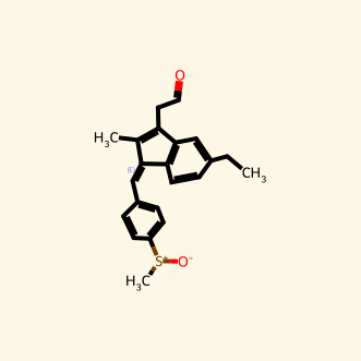 CCc1ccc2c(c1)C(CC=O)=C(C)/C2=C/c1ccc([S+](C)[O-])cc1